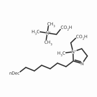 CCCCCCCCCCCCCCCCC1=NCC[N+]1(C)CC(=O)O.C[N+](C)(C)CC(=O)O